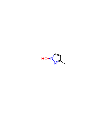 Cc1c[c]n(O)n1